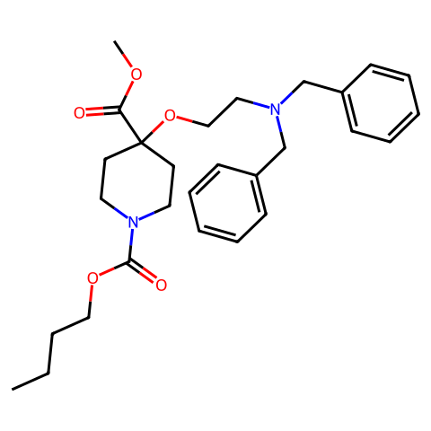 CCCCOC(=O)N1CCC(OCCN(Cc2ccccc2)Cc2ccccc2)(C(=O)OC)CC1